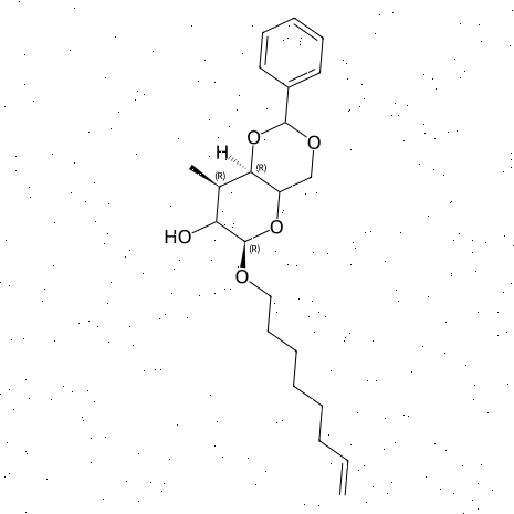 C=CCCCCCCO[C@@H]1OC2COC(c3ccccc3)O[C@@H]2[C@H](C)C1O